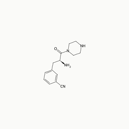 N#Cc1cccc(C[C@H](N)C(=O)N2CCNCC2)c1